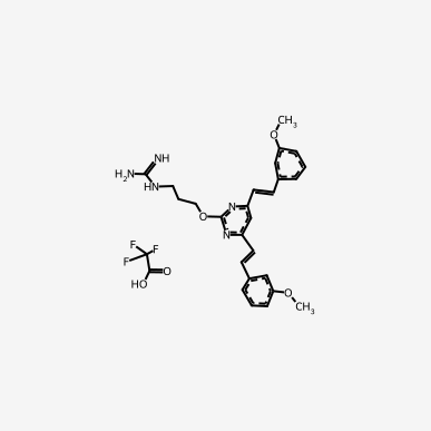 COc1cccc(C=Cc2cc(C=Cc3cccc(OC)c3)nc(OCCCNC(=N)N)n2)c1.O=C(O)C(F)(F)F